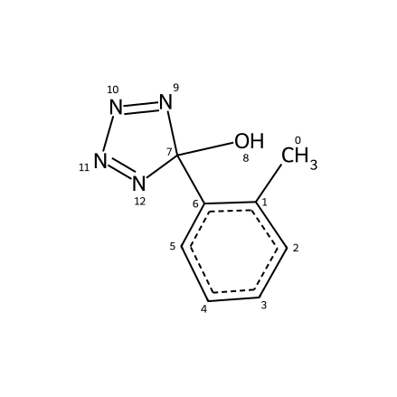 Cc1ccccc1C1(O)N=NN=N1